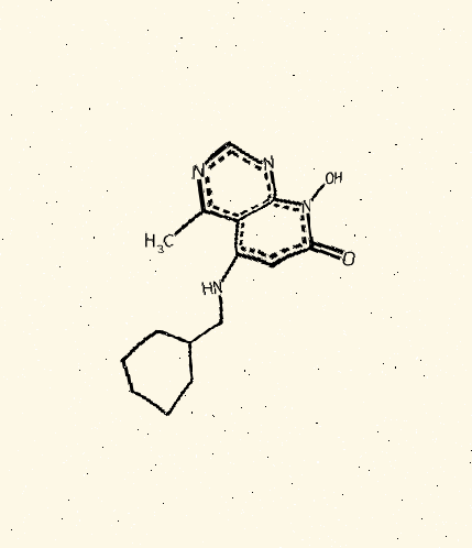 Cc1ncnc2c1c(NCC1CCCCC1)cc(=O)n2O